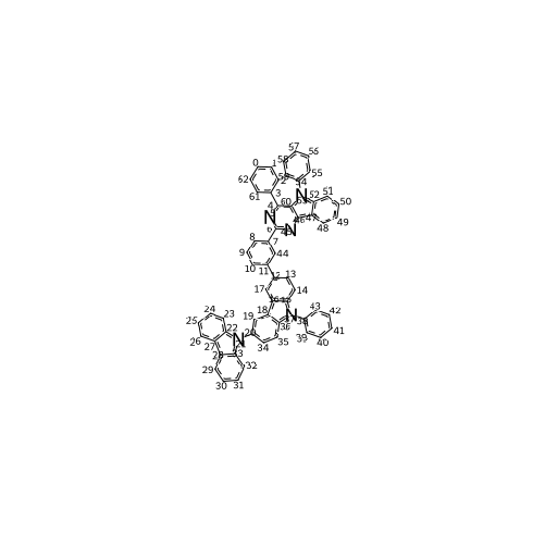 c1ccc(-c2nc(-c3cccc(-c4ccc5c(c4)c4cc(-n6c7ccccc7c7ccccc76)ccc4n5-c4ccccc4)c3)nc3c4ccccc4n(-c4ccccc4)c23)cc1